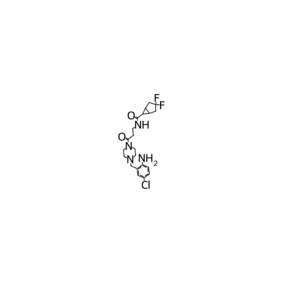 Nc1ccc(Cl)cc1CN1CCN(C(=O)CCNC(=O)C2C3CC(F)(F)CC32)CC1